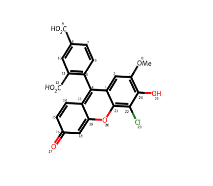 COc1cc2c(-c3ccc(C(=O)O)cc3C(=O)O)c3ccc(=O)cc-3oc2c(Cl)c1O